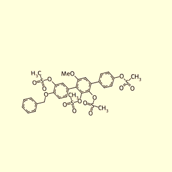 COc1cc(-c2ccc(OS(C)(=O)=O)cc2)c(OS(C)(=O)=O)c(OS(C)(=O)=O)c1-c1ccc(OCc2ccccc2)c(OS(C)(=O)=O)c1